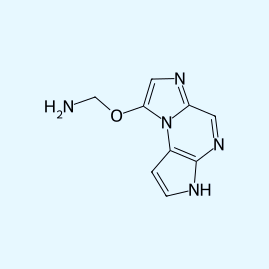 NCOc1cnc2cnc3[nH]ccc3n12